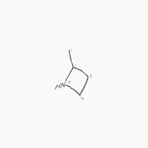 C[C]1CCN1